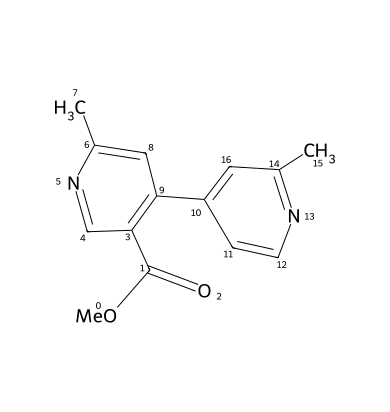 COC(=O)c1cnc(C)cc1-c1ccnc(C)c1